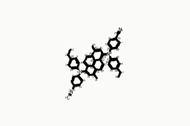 [C-]#[N+]c1ccc(N(c2ccc(CC)cc2)c2cc(C)c3ccc4c(N(c5ccc(C#N)cc5)c5ccc(CC)cc5)cc(C)c5ccc2c3c54)cc1